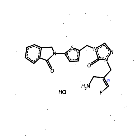 Cl.NC/C(=C\F)Cn1ncn(Cc2ccc(N3Cc4ccccc4C3=O)s2)c1=O